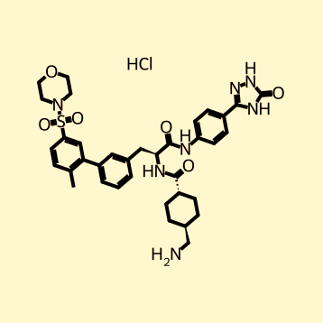 Cc1ccc(S(=O)(=O)N2CCOCC2)cc1-c1cccc(C[C@H](NC(=O)[C@H]2CC[C@H](CN)CC2)C(=O)Nc2ccc(-c3n[nH]c(=O)[nH]3)cc2)c1.Cl